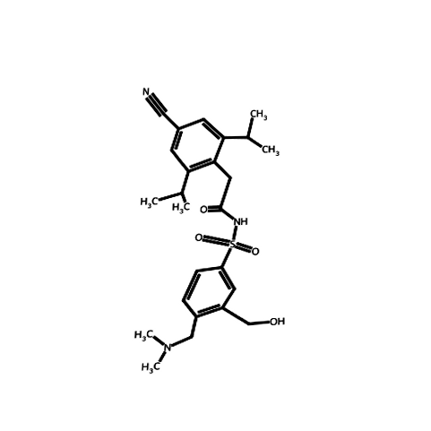 CC(C)c1cc(C#N)cc(C(C)C)c1CC(=O)NS(=O)(=O)c1ccc(CN(C)C)c(CO)c1